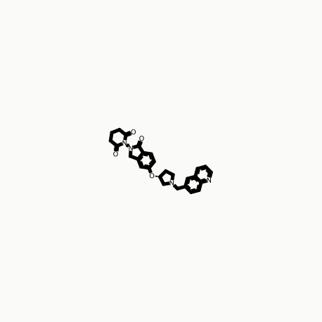 O=C1c2ccc(O[C@@H]3CCN(Cc4ccc5ncccc5c4)C3)cc2CN1N1C(=O)CCCC1=O